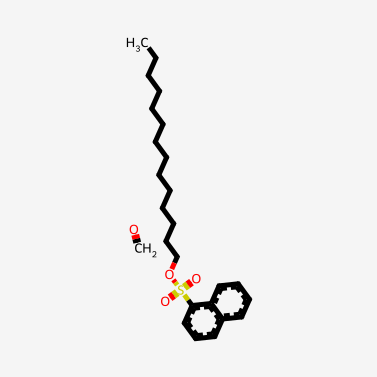 C=O.CCCCCCCCCCCCCCOS(=O)(=O)c1cccc2ccccc12